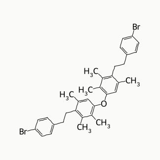 Cc1cc(Oc2cc(C)c(CCc3ccc(Br)cc3)c(C)c2C)c(C)c(C)c1CCc1ccc(Br)cc1